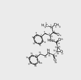 CN(C)C(=O)[C@H](Cc1ccccc1)NC(=O)[C@H]1O[C@@H]1C(=O)NCCc1ccccn1